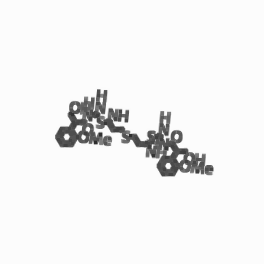 COc1ccccc1C(CO)C(=O)NC(=N)SC(=N)CCSCCC(=N)SC(=N)NC(=O)C(CO)c1ccccc1OC